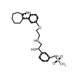 CS(=O)(=O)Nc1cccc([C@@H](O)CNCCOc2ccc3[nH]c4c(c3c2)CCCCC4)c1